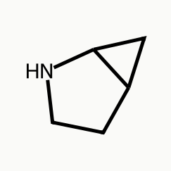 C1CC2CC2N1